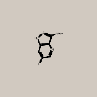 CNc1n[nH]c2cc(F)cnc12